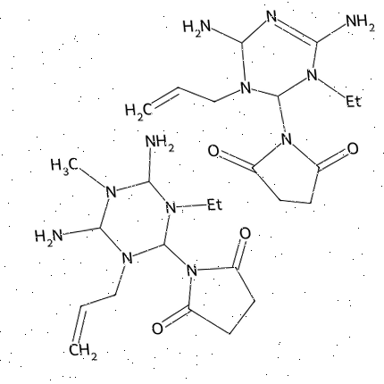 C=CCN1C(N)N(C)C(N)N(CC)C1N1C(=O)CCC1=O.C=CCN1C(N)N=C(N)N(CC)C1N1C(=O)CCC1=O